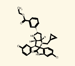 CCOC(=O)c1cccc([C@@H]2C[C@H]3[C@@H](N2)[C@H](c2cccc(Cl)c2)[C@]2(C(=O)Nc4cc(Cl)ccc42)N3CC2CC2)c1